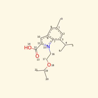 Cc1cc(C(C)C)c2c(c1)cc(C(=O)O)n2CCOC(C)C